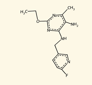 CCOc1nc(C)c(N)c(NCc2ccc(F)nc2)n1